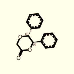 O=C1CO[C@H](c2ccccc2)[C@@H](c2ccccc2)O1